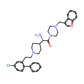 N[C@@H](C(=O)N1CCN(Cc2coc3ccccc23)CC1)C1CCN(CCc2cc(Cl)ccc2-c2ccccc2)CC1